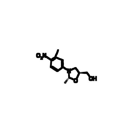 Cc1cc(N2C[C@@H](CO)O[C@@H]2C)ccc1[N+](=O)[O-]